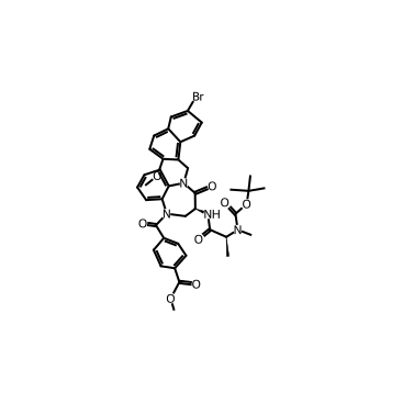 COC(=O)c1ccc(C(=O)N2C[C@H](NC(=O)[C@H](C)N(C)C(=O)OC(C)(C)C)C(=O)N(Cc3c(OC)ccc4cc(Br)ccc34)c3ccccc32)cc1